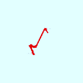 CCCCCCCCCCCN(C(=O)CCCCCCCCCC(=O)O)C(CCC(=O)NCCOCCOCCOCCOCCOCCOCCOCCOCCOCCOCCOCCOCCC(=O)NC(C)(C)CC(=O)OC(C)(C)c1ccc(C(=O)Nc2cc(F)cc(-c3ncnc4[nH]c(-c5ccc(CCN6CCC7(CC6)CCN(C(=O)c6ccc(OC)c(N8CCC(=O)NC8=O)c6)CC7)cc5)cc34)c2C)c(F)c1)C(C)=O